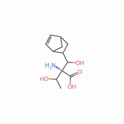 CC(O)[C@@](N)(C(=O)O)C(O)C1CC2C=CC1C2